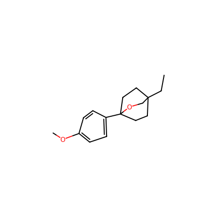 CCC12CCC(c3ccc(OC)cc3)(CC1)OC2